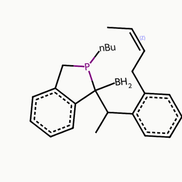 BC1(C(C)c2ccccc2C/C=C\C)c2ccccc2CP1CCCC